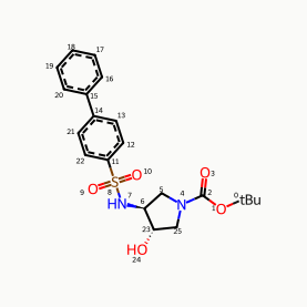 CC(C)(C)OC(=O)N1C[C@H](NS(=O)(=O)c2ccc(-c3ccccc3)cc2)[C@@H](O)C1